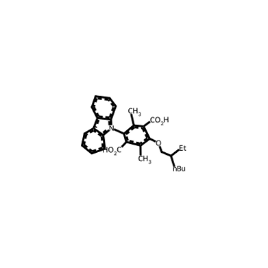 CCCCC(CC)COc1c(C)c(C(=O)O)c(-n2c3ccccc3c3ccccc32)c(C)c1C(=O)O